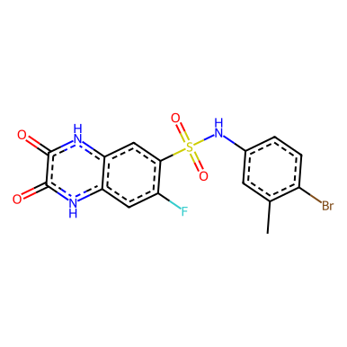 Cc1cc(NS(=O)(=O)c2cc3[nH]c(=O)c(=O)[nH]c3cc2F)ccc1Br